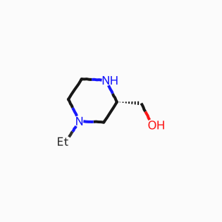 CCN1CCN[C@H](CO)C1